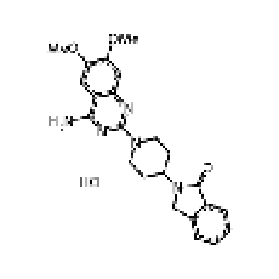 COc1cc2nc(N3CCC(N4Cc5ccccc5C4=O)CC3)nc(N)c2cc1OC.Cl